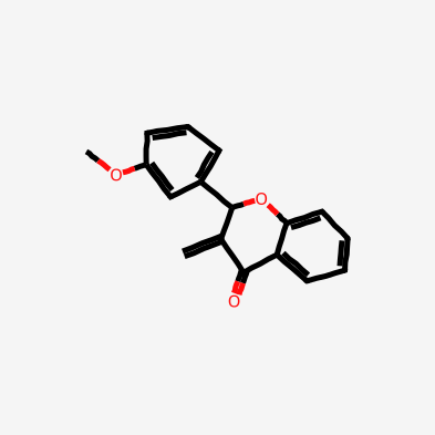 C=C1C(=O)c2ccccc2OC1c1cccc(OC)c1